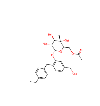 CCc1ccc(Cc2ccc(CO)cc2O[C@H]2O[C@H](COC(C)=O)[C@@](C)(O)[C@H](O)[C@H]2O)cc1